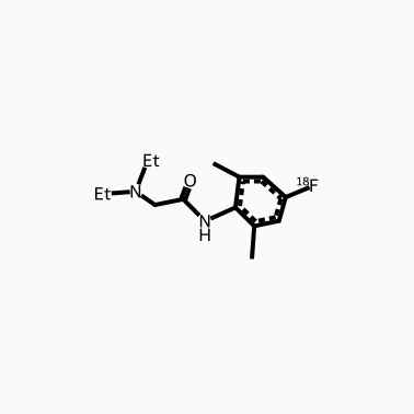 CCN(CC)CC(=O)Nc1c(C)cc([18F])cc1C